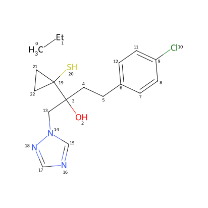 CCC.OC(CCc1ccc(Cl)cc1)(Cn1cncn1)C1(S)CC1